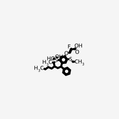 CCCCC1CC(c2ccccc2)c2cc(SCC)c(O/C=C(\F)C(=O)O)cc2S(O)(O)C1C